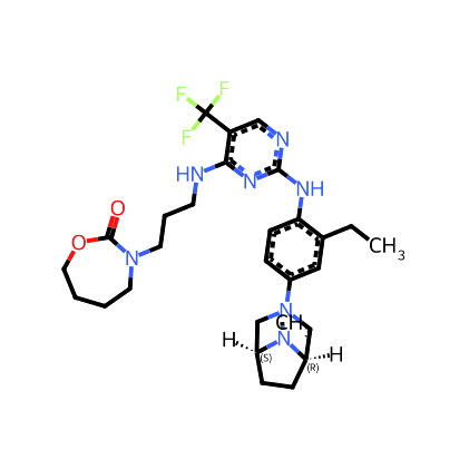 CCc1cc(N2C[C@H]3CC[C@@H](C2)N3C)ccc1Nc1ncc(C(F)(F)F)c(NCCCN2CCCCOC2=O)n1